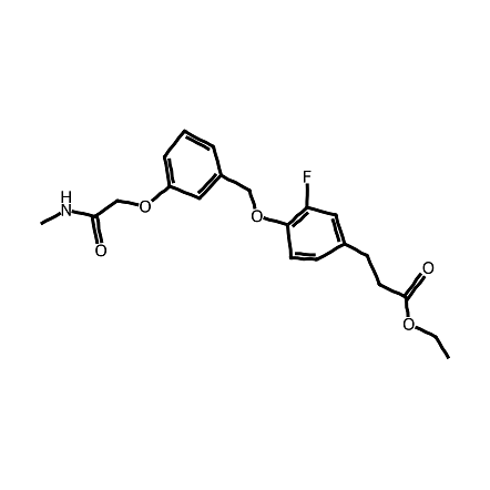 CCOC(=O)CCc1ccc(OCc2cccc(OCC(=O)NC)c2)c(F)c1